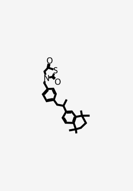 CC(Cc1ccc(CN2CC(=O)SC2=O)cc1)c1ccc2c(c1)C(C)(C)CCC2(C)C